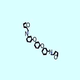 C(=N\c1cccc(Oc2cccc(Oc3cccc(/N=C/c4ccco4)c3)c2)c1)/c1ccco1